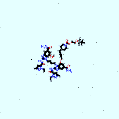 CCn1nc(C)cc1C(=O)Nc1nc2cc(C(N)=O)cc(OC)c2n1C/C=C/Cn1c(NC(=O)c2cc(C)nn2CC)nc2cc(C(N)=O)cc(OCC#CCC3CCN(C(=O)OCCO[Si](C)(C)C(C)(C)C)CC3)c21